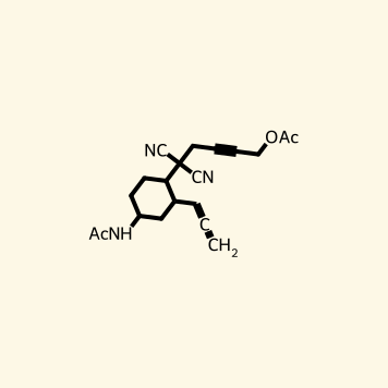 C=C=CC1CC(NC(C)=O)CCC1C(C#N)(C#N)CC#CCOC(C)=O